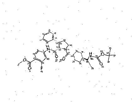 COC(=O)c1ccc(NC(=O)[C@@H]2[C@H](c3ccccc3)CCN2C(=O)[C@H]2CC[C@H](C(C)NC(=O)OC(C)(C)C)CC2)cc1F